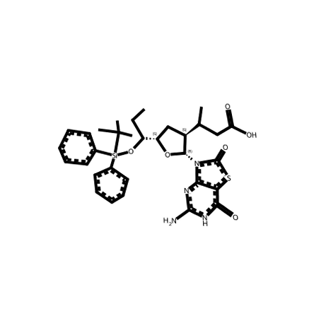 CCC(O[Si](c1ccccc1)(c1ccccc1)C(C)(C)C)[C@@H]1C[C@@H](C(C)CC(=O)O)[C@H](n2c(=O)sc3c(=O)[nH]c(N)nc32)O1